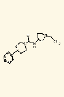 CCN1CCC(NC(=O)N2CCN(c3ccccc3)CC2)C1